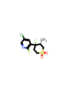 C[C@@H]1CS(=O)(=O)CC[C@]1(F)c1cc(Cl)cnc1F